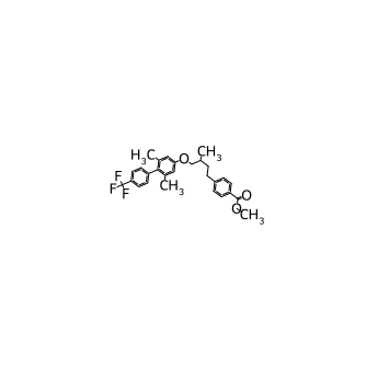 COC(=O)c1ccc(CCC(C)COc2cc(C)c(-c3ccc(C(F)(F)F)cc3)c(C)c2)cc1